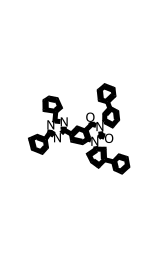 O=c1c2cc(-c3nc(-c4ccccc4)nc(-c4ccccc4)n3)ccc2n(-c2cccc(-c3ccccc3)c2)c(=O)n1-c1cccc(-c2ccccc2)c1